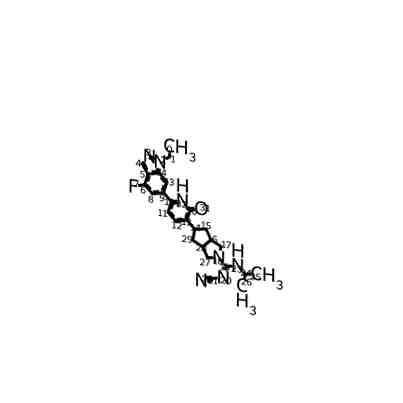 CCn1ncc2c(F)cc(-c3ccc(C4CC5CN(/C(=N\C#N)NC(C)C)CC5C4)c(=O)[nH]3)cc21